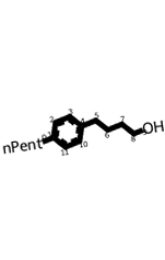 CCCCCc1ccc(CCCCO)cc1